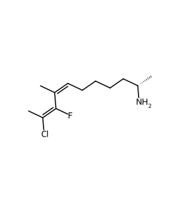 CC(=C/CCCC[C@H](C)N)/C(F)=C(\C)Cl